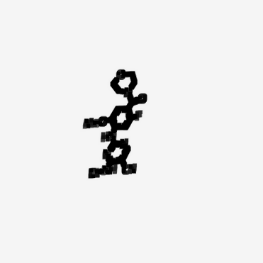 CCNc1nc(Nc2cc(F)c(C(=O)N3CCOCC3)cc2OC)ncc1C#N